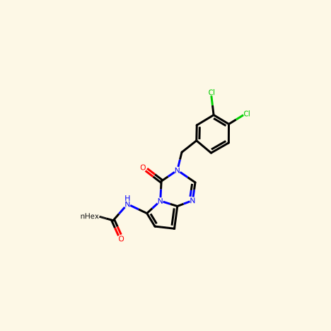 CCCCCCC(=O)Nc1ccc2ncn(Cc3ccc(Cl)c(Cl)c3)c(=O)n12